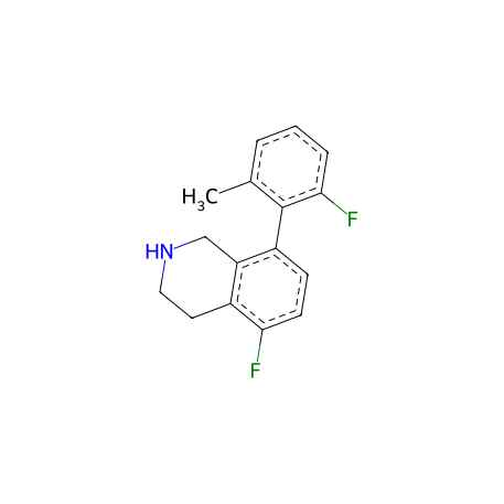 Cc1cccc(F)c1-c1ccc(F)c2c1CNCC2